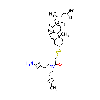 CC[C@H](CC[C@@H](C)C1CCC2[C@@H]3CC=C4C[C@@H](SSCCC(=O)N(CCC5CC(C)C5)CCC5CC(N)C5)CCC4(C)C3CCC21C)C(C)C